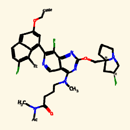 CCc1c(F)ccc2cc(OCOC)cc(-c3ncc4c(N(C)CCCC(=O)N(C)C(C)=O)nc(OC[C@@]56CCCN5C[C@H](F)C6)nc4c3F)c12